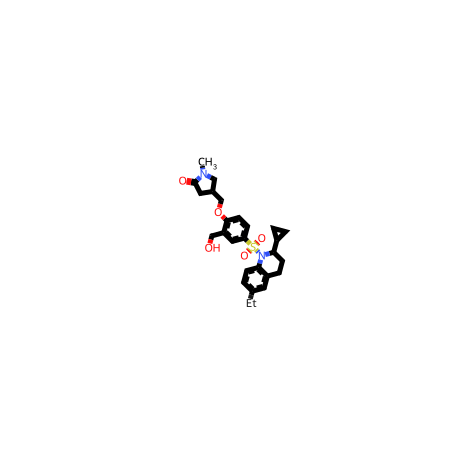 CCc1ccc2c(c1)CCC(C1CC1)N2S(=O)(=O)c1ccc(OCC2CC(=O)N(C)C2)c(CO)c1